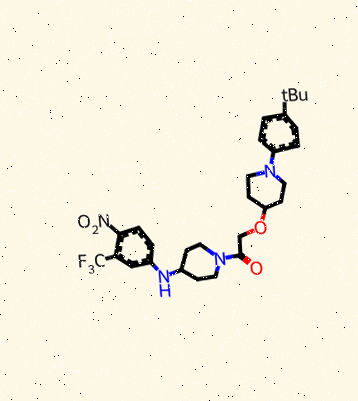 CC(C)(C)c1ccc(N2CCC(OCC(=O)N3CCC(Nc4ccc([N+](=O)[O-])c(C(F)(F)F)c4)CC3)CC2)cc1